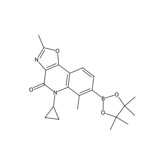 Cc1nc2c(=O)n(C3CC3)c3c(C)c(B4OC(C)(C)C(C)(C)O4)ccc3c2o1